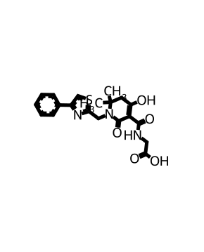 CC1(C)CC(O)=C(C(=O)NCC(=O)O)C(=O)N1Cc1nc(-c2ccccc2)cs1